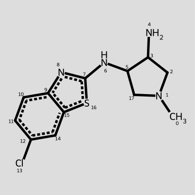 CN1CC(N)C(Nc2nc3ccc(Cl)cc3s2)C1